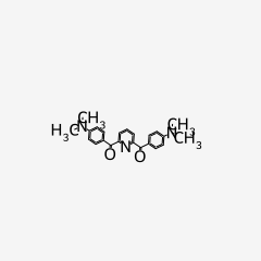 CN(C)c1ccc(C(=O)c2cccc(C(=O)c3ccc(N(C)C)cc3)n2)cc1